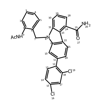 CC(=O)Nc1ccccc1Cn1c2cc(-c3ccc(Cl)cc3Cl)c[c]c2c2c(C(N)=O)cccc21